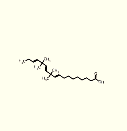 CCC=CC(C)(C)C=CC(C)(C)C=CCCCCCCCC(=O)O